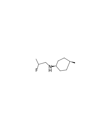 CC(F)CN[C@H]1CC[C@@H](C)CC1